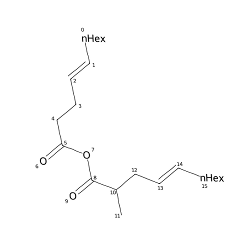 CCCCCCC=CCCC(=O)OC(=O)C(C)CC=CCCCCCC